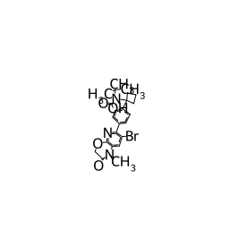 CN1C(=O)COc2nc(-c3ccc(C4(N(C(=O)O)C(C)(C)C)CCC4)cc3)c(Br)cc21